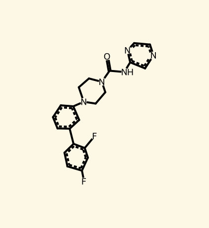 O=C(Nc1cnccn1)N1CCN(c2cccc(-c3ccc(F)cc3F)c2)CC1